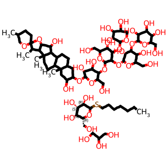 CC1CCC2(OC1)OC1C(O)C3C4CCC5CC(OC6OC(CO)C(OC7OC(CO)C(O)C(OC8OCC(O)C(O)C8O)C7OC7OC(CO)C(O)C(OC8OC(CO)C(O)C(O)C8O)C7O)C(O)C6O)C(O)CC5(C)C4CCC3(C)C1C2C.CCCCCCCSC1O[C@H](CO)[C@@H](O)[C@H](O)[C@H]1O.OCC(O)CO